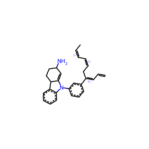 C=C/C=C(\C/C=C\C=C/C)c1cccc(N2C3=CC(N)CCC3c3ccccc32)c1